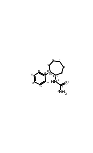 NC(=S)N[C@@H]1CCCCC[C@@H]1c1ccccc1